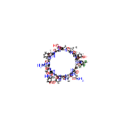 CCCC[C@H]1C(=O)N2CCC[C@@H]2C(=O)N[C@@H](CC(=O)O)C(=O)N[C@@H](C(C)C)C(=O)N(C)[C@@H](Cc2ccccc2)C(=O)N[C@@H](CCN)C(=O)N2CCOC[C@@H]2C(=O)N[C@@H](Cc2c[nH]c3ccccc23)C(=O)N[C@@H](Cc2ccc(O)cc2)C(=O)N[C@@H](CC(C)C)C(=O)N[C@H](C(=O)NCC(N)=O)CSCC(=O)N[C@@H](Cc2cc(F)c(F)c(F)c2)C(=O)N(C)[C@@H](Cc2ccc(O)cc2)C(=O)N1C